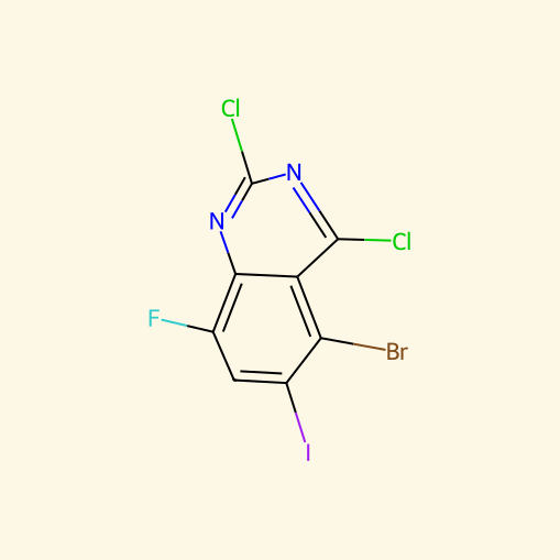 Fc1cc(I)c(Br)c2c(Cl)nc(Cl)nc12